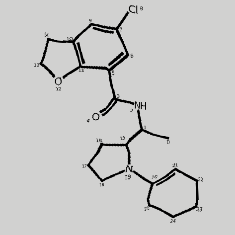 CC(NC(=O)c1cc(Cl)cc2c1OCC2)C1CCCN1C1=CCCCC1